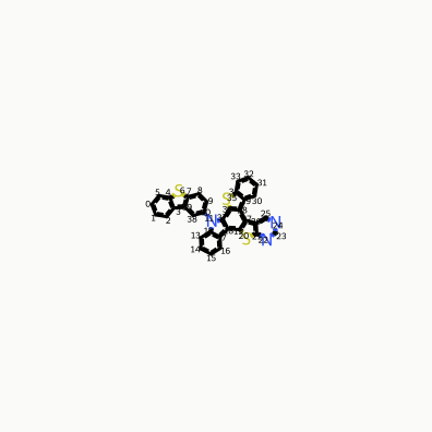 c1ccc2c(c1)sc1ccc(-n3c4ccccc4c4c5sc6ncncc6c5c5c6ccccc6sc5c43)cc12